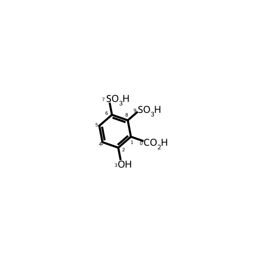 O=C(O)c1c(O)[c]cc(S(=O)(=O)O)c1S(=O)(=O)O